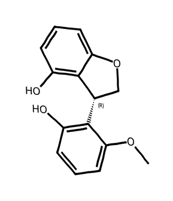 COc1cccc(O)c1[C@H]1COc2cccc(O)c21